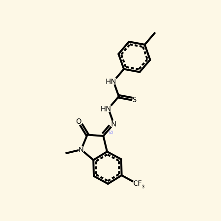 Cc1ccc(NC(=S)N/N=C2\C(=O)N(C)c3ccc(C(F)(F)F)cc32)cc1